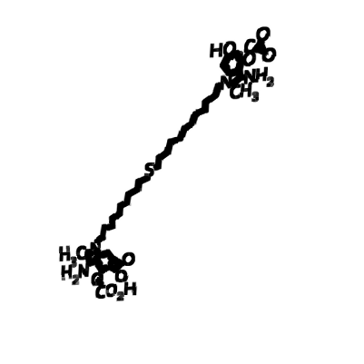 Cc1c(N)c2c(OC3(C(=O)O)C(=O)C3=O)cccc2n1CCCCCCCCCCCCSCCCCCCCCCCCCn1c(C)c(N)c2c(OCC(=O)O)c3c(=O)c(=O)c3cc21